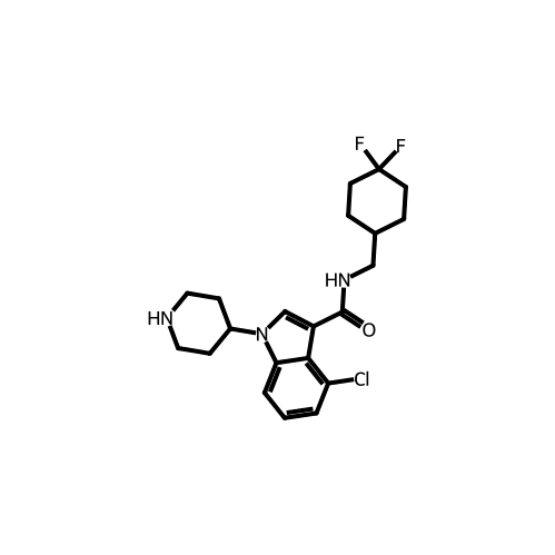 O=C(NCC1CCC(F)(F)CC1)c1cn(C2CCNCC2)c2cccc(Cl)c12